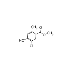 COC(=O)c1cc(Cl)c(O)cc1C